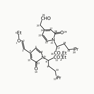 CCO/C=C/c1ccn(C(CCC(C)C)C(=O)OCC)c(=O)c1.CCOC(=O)C(CCC(C)C)n1ccc(CC=O)cc1=O